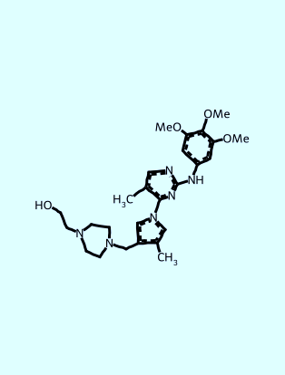 COc1cc(Nc2ncc(C)c(-n3cc(C)c(CN4CCN(CCO)CC4)c3)n2)cc(OC)c1OC